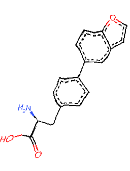 N[C@@H](Cc1ccc(-c2ccc3occc3c2)cc1)C(=O)O